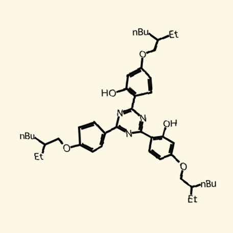 CCCCC(CC)COc1ccc(-c2nc(-c3ccc(OCC(CC)CCCC)cc3O)nc(-c3ccc(OCC(CC)CCCC)cc3O)n2)cc1